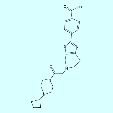 O=C(O)c1ccc(-c2nc3c(s2)CN(CC(=O)N2CCN(C4CCC4)CC2)CC3)cc1